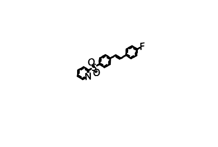 O=S(=O)(c1ccc(/C=C/c2ccc(F)cc2)cc1)c1ccccn1